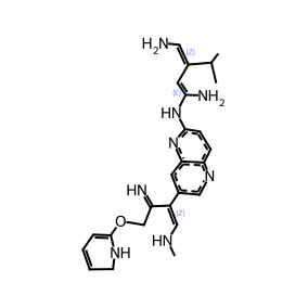 CN/C=C(\C(=N)COC1=CC=CCN1)c1cnc2ccc(N/C(N)=C/C(=C\N)C(C)C)nc2c1